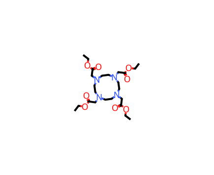 CCOC(=O)CN1CCN(CC(=O)OCC)CCN(CC(=O)OCC)CCN(CC(=O)OCC)CC1